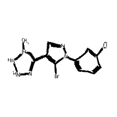 CN1NNN=C1c1cnn(-c2cccc(Cl)c2)c1Br